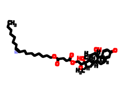 CCCCCCC/C=C\CCCCCCCCOC(=O)CCC(=O)OCC(=O)[C@@]1(O)[C@H](C)C[C@H]2[C@@H]3CCC4=CC(=O)C=C[C@]4(C)[C@H]3[C@@H](O)C[C@@]21C